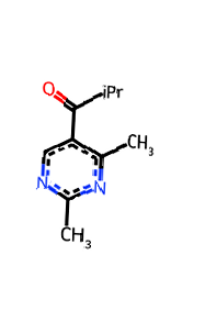 Cc1ncc(C(=O)C(C)C)c(C)n1